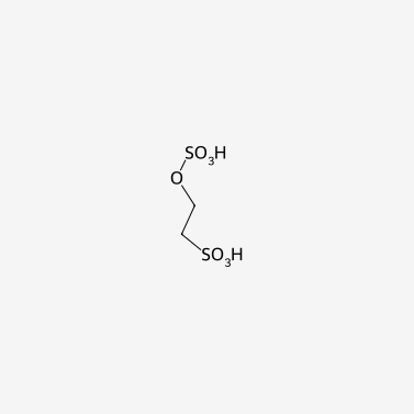 O=S(=O)(O)CCOS(=O)(=O)O